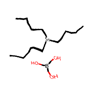 CCC[CH2][Sn]([CH2]CCC)[CH2]CCC.OB(O)O